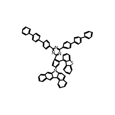 c1ccc(-c2ccc(-c3ccc(-c4nc(-c5ccc(-c6ccc(-c7ccccc7)cc6)cc5)nc(-c5ccc(-n6c7cc8ccccc8cc7c7c8ccccc8ccc76)cc5-c5cccc6sc7ccccc7c56)n4)cc3)cc2)cc1